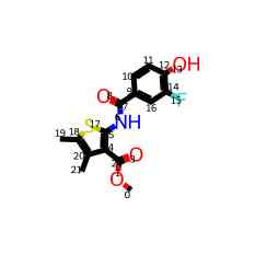 COC(=O)c1c(NC(=O)c2ccc(O)c(F)c2)sc(C)c1C